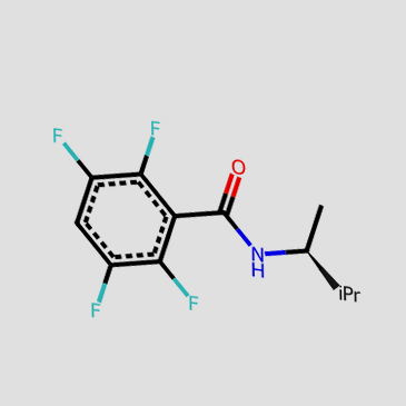 CC(C)[C@H](C)NC(=O)c1c(F)c(F)cc(F)c1F